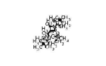 C[C@@H](O[Si](C)(C)C(C)(C)C)[C@H]1C(=O)N([Si](C)(C)C(C)(C)C)[C@@H]1O[Si](C)(C)C